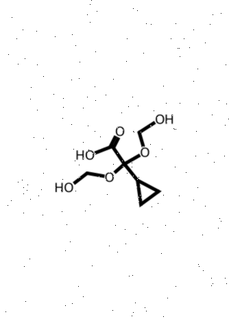 O=C(O)C(OCO)(OCO)C1CC1